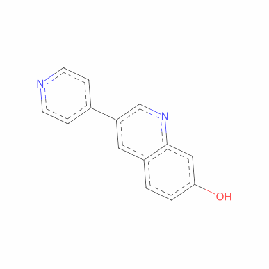 Oc1ccc2cc(-c3ccncc3)cnc2c1